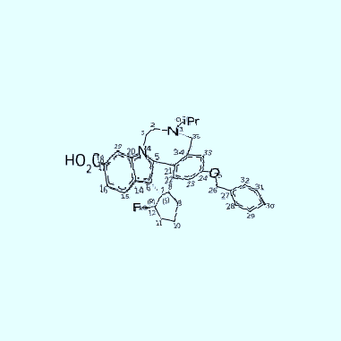 CC(C)N1CCn2c(c([C@@H]3CCCC[C@H]3F)c3ccc(C(=O)O)cc32)-c2ccc(OCc3ccccc3)cc2C1